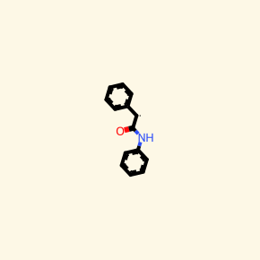 O=C([CH]c1ccccc1)Nc1ccccc1